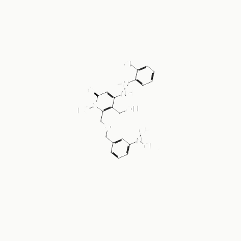 CN(C)c1cccc(COCc2c(CO)c(NNc3ccccc3Cl)cc(=O)n2C)c1